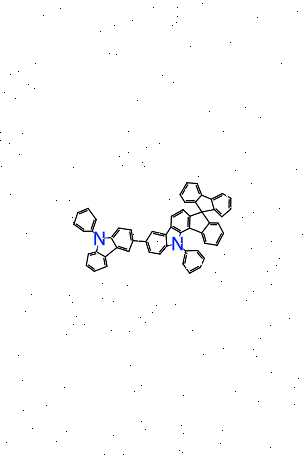 c1ccc(-n2c3ccccc3c3cc(-c4ccc5c(c4)c4ccc6c(c4n5-c4ccccc4)-c4ccccc4C64c5ccccc5-c5ccccc54)ccc32)cc1